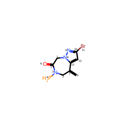 C=C1CN(P)C(=O)Cn2nc(Br)cc21